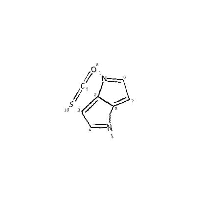 C1=NC2=CC=NC2=C1.O=C=S